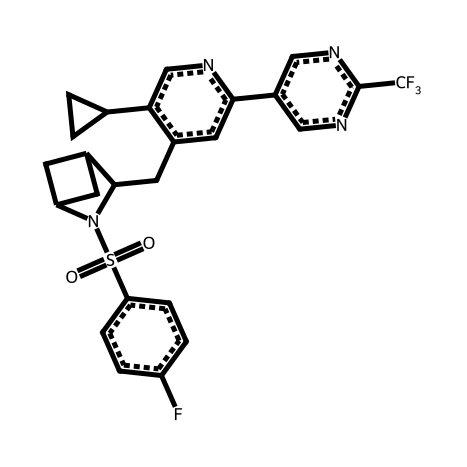 O=S(=O)(c1ccc(F)cc1)N1C2CC(C2)C1Cc1cc(-c2cnc(C(F)(F)F)nc2)ncc1C1CC1